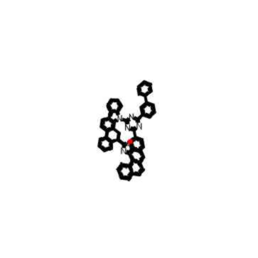 c1ccc(-c2cccc(-c3nc(-c4ccccc4)nc(-n4c5ccccc5c5ccc6c(c54)CC(c4nc5c(ccc7ccc8ccccc8c75)o4)c4ccccc4-6)n3)c2)cc1